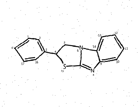 c1ccc(C2Cn3c(nc4ccccc43)S2)cc1